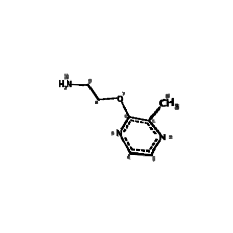 Cc1nccnc1OCCN